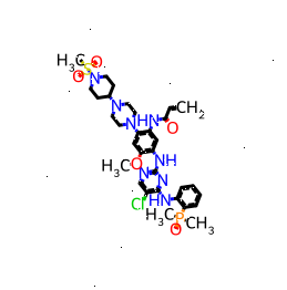 C=CC(=O)Nc1cc(Nc2ncc(Cl)c(Nc3ccccc3P(C)(C)=O)n2)c(OC)cc1N1CCN(C2CCN(S(C)(=O)=O)CC2)CC1